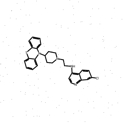 Clc1ccc2c(NCCN3CCC(N4c5ccccc5Sc5ccccc54)CC3)ccnc2c1